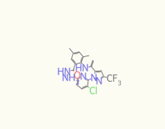 C=C(Nc1c(C)cc(C)cc1C(=O)NN)c1cc(C(F)(F)F)nn1-c1ncccc1Cl